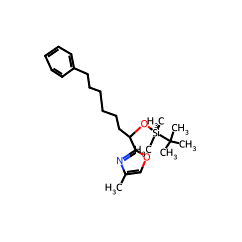 Cc1coc(C(CCCCCCc2ccccc2)O[Si](C)(C)C(C)(C)C)n1